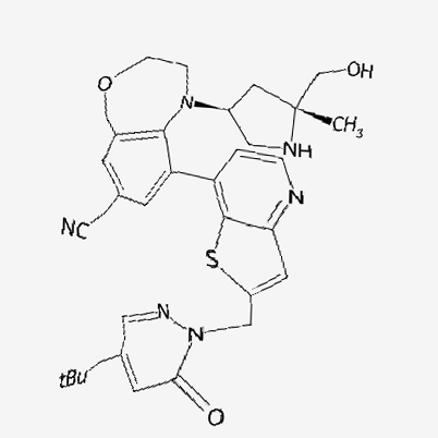 CC(C)(C)c1cnn(Cc2cc3nccc(-c4cc(C#N)cc5c4N([C@@H]4CN[C@@](C)(CO)C4)CCO5)c3s2)c(=O)c1